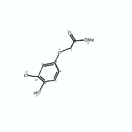 COC(=O)COc1ccc(O)c(Cl)c1